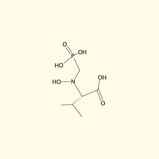 CC(C)[C@@H](C(=O)O)N(O)CP(=O)(O)O